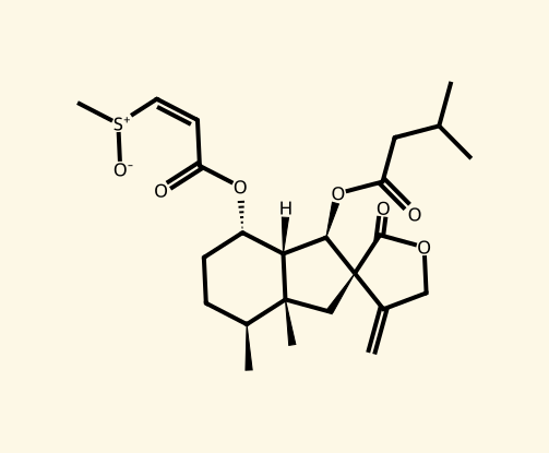 C=C1COC(=O)[C@]12C[C@@]1(C)[C@H]([C@@H](OC(=O)/C=C\[S+](C)[O-])CC[C@@H]1C)[C@H]2OC(=O)CC(C)C